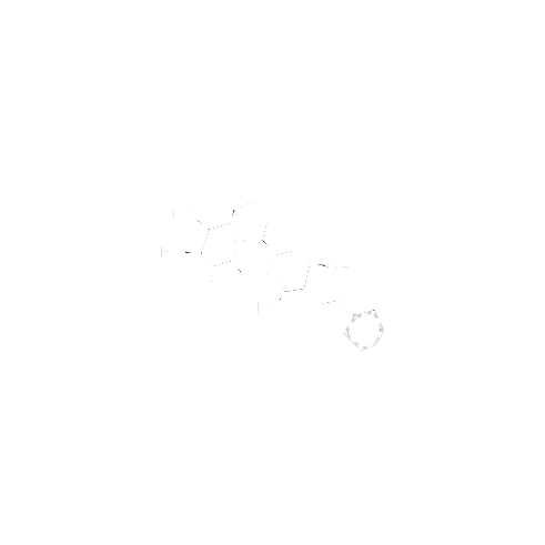 OC[C@H]1O[C@@H](O[C@H]2[C@H](O)[C@@H](OCc3ccccc3)[C@H](O)O[C@@H]2CO)[C@H](O)[C@@H](O)[C@H]1O